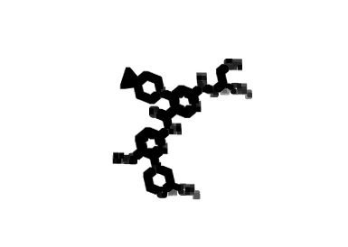 CSc1ccc(NC(=O)c2cnc(NS[C@@H](C)CO)cc2N2CCC3(CC2)CC3)nc1N1CCO[C@H](C)C1